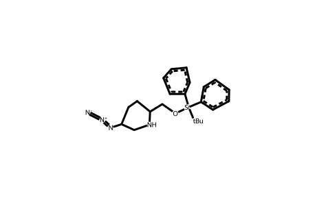 CC(C)(C)[Si](OCC1CCC(N=[N+]=[N-])CN1)(c1ccccc1)c1ccccc1